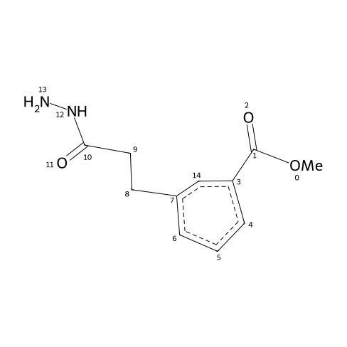 COC(=O)c1cccc(CCC(=O)NN)c1